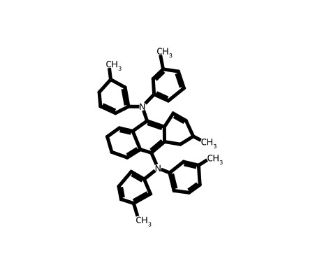 Cc1cccc(N(C2=CC(C)CC=C2)c2c3c(c(N(c4cccc(C)c4)c4cccc(C)c4)c4c2=CCCC=4)CC(C)C=C3)c1